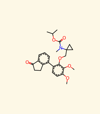 COc1ccc(-c2cccc3c2CCC3=O)c(OCC2(N(C)C(=O)OC(C)C)CC2)c1OC